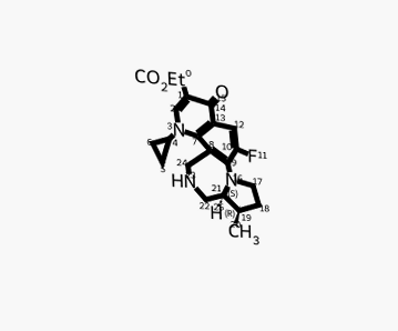 CCOC(=O)c1cn(C2CC2)c2c3c(c(F)cc2c1=O)N1CC[C@@H](C)[C@H]1CNC3